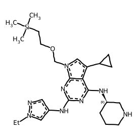 CCn1cc(Nc2nc(N[C@@H]3CCCNC3)c3c(C4CC4)cn(COCC[Si](C)(C)C)c3n2)cn1